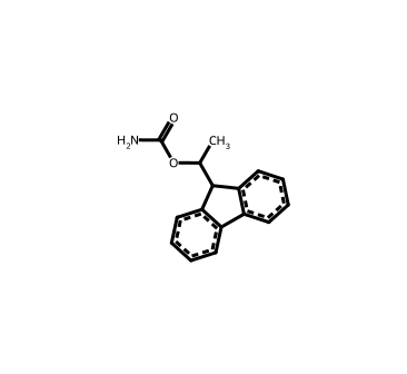 CC(OC(N)=O)C1c2ccccc2-c2ccccc21